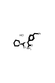 CCC(C[C@@H](C(N)=O)c1ccc(CC(C)C)cc1)N1CCCCC1.Cl